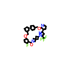 O=C(c1cc(OCc2ccccc2)ccc1F)N1CC2(CC(n3nc(-c4cccnc4OCc4ccccc4)cc3C(F)(F)F)C2)C1